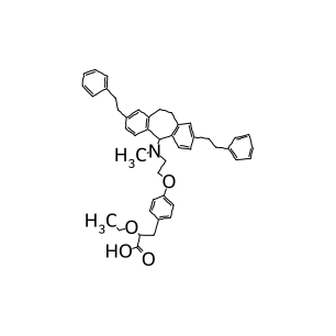 CCOC(Cc1ccc(OCCN(C)C2c3ccc(CCc4ccccc4)cc3CCc3cc(CCc4ccccc4)ccc32)cc1)C(=O)O